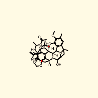 C=C(N)[C@]1(NC(C)OC(C)=O)CS[C@@H]2c3c(OC(C)=O)c(C)c4c(c3[C@H](COC1=O)N1[C@@H]2[C@H]2c3c(cc(C)c(OC)c3O)C3(C)CC1(O)CN23)OCO4